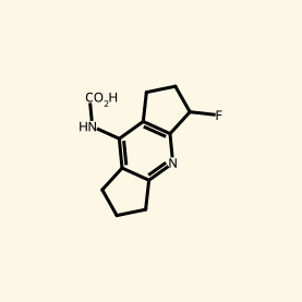 O=C(O)Nc1c2c(nc3c1CCC3F)CCC2